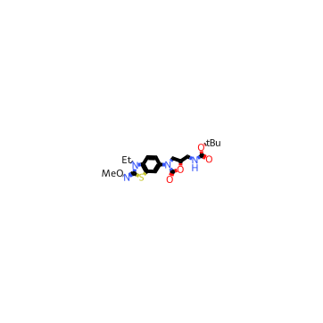 CCn1c(=NOC)sc2cc(N3CC(CNC(=O)OC(C)(C)C)OC3=O)ccc21